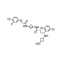 O=C(COc1ccc(Cl)c(F)c1)NC12CC(NC(=O)[C@H]3C[C@@H](NC4CC(O)C4)c4cc(Cl)ccc4O3)(C1)C2